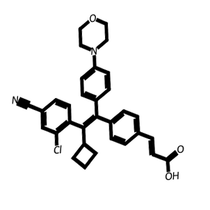 N#Cc1ccc(C(=C(c2ccc(C=CC(=O)O)cc2)c2ccc(N3CCOCC3)cc2)C2CCC2)c(Cl)c1